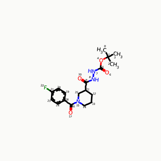 CC(C)(C)OC(=O)NNC(=O)C1CCCN(C(=O)c2ccc(F)cc2)C1